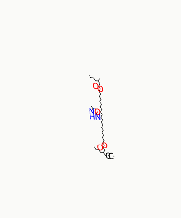 C=C=C=CC(CCCC)CC(=O)OCCCCCCCCCCC(CCCCCCCCCCOC(=O)CC(C)CCCC)NC(=O)CN(C)C(C)C